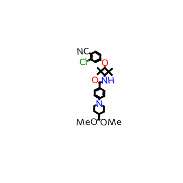 COC(OC)C1CCN(c2ccc(C(=O)NC3C(C)(C)C(Oc4ccc(C#N)c(Cl)c4)C3(C)C)cc2)CC1